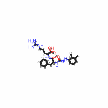 Cc1cccc(/N=N/C(=O)NC(Cc2ccccc2)C(=O)NC(CCCNC(=N)N)C(=O)O)c1C